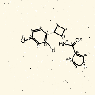 O=C(N[C@H]1CC[C@H]1c1ccc(Cl)cc1Cl)c1cscn1